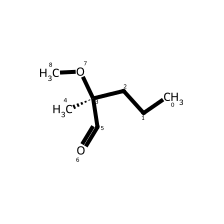 CCC[C@@](C)(C=O)OC